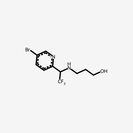 OCCCNC(c1ccc(Br)cn1)C(F)(F)F